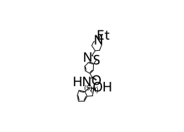 CCN1CCC(c2nc3ccc(C(=O)N[C@H]4c5ccccc5C[C@H]4O)cc3s2)CC1